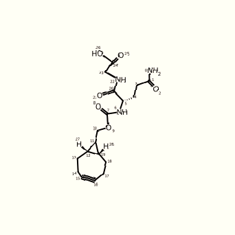 NC(=O)CC[C@H](NC(=O)OCC1[C@H]2CCC#CCC[C@@H]12)C(=O)NCC(=O)O